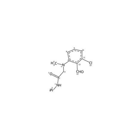 CC(C)NC(=O)CN(C)c1cccc(Cl)c1C=O